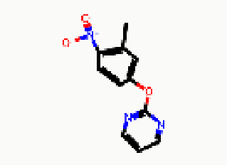 Cc1cc(Oc2ncccn2)ccc1[N+](=O)[O-]